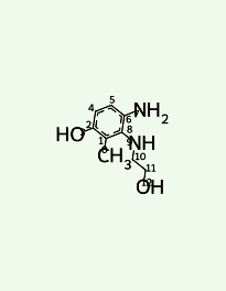 Cc1c(O)ccc(N)c1NCCO